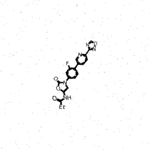 CCC(=O)NC1CN(c2ccc(-c3ccc(-c4ncon4)nc3)c(F)c2)C(=O)O1